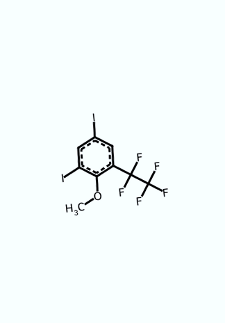 COc1c(I)cc(I)cc1C(F)(F)C(F)(F)F